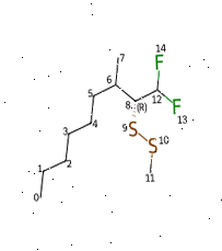 CCCCCCC(C)[C@@H](SSC)C(F)F